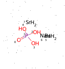 O=P(O)(O)O.[BaH2].[NaH].[SrH2]